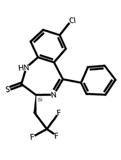 FC(F)(F)C[C@@H]1N=C(c2ccccc2)c2cc(Cl)ccc2NC1=S